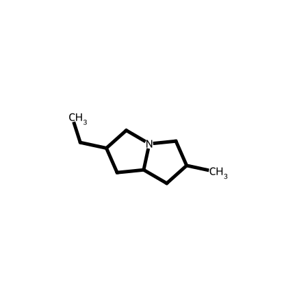 CCC1CC2CC(C)CN2C1